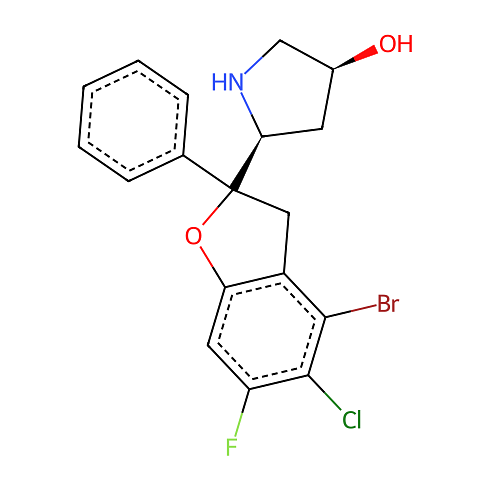 O[C@@H]1CN[C@H](C2(c3ccccc3)Cc3c(cc(F)c(Cl)c3Br)O2)C1